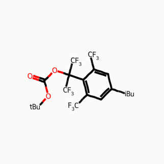 CCC(C)c1cc(C(F)(F)F)c(C(OC(=O)OC(C)(C)C)(C(F)(F)F)C(F)(F)F)c(C(F)(F)F)c1